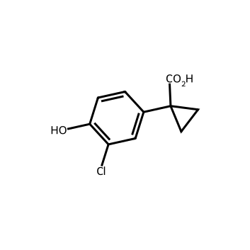 O=C(O)C1(c2ccc(O)c(Cl)c2)CC1